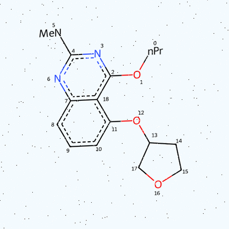 CCCOc1nc(NC)nc2cccc(OC3CCOC3)c12